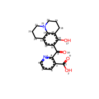 O=C(O)c1cccnc1C(=O)c1cc2c3c(c1O)CCCN3CCC2